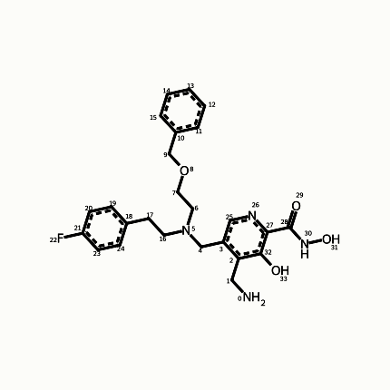 NCc1c(CN(CCOCc2ccccc2)CCc2ccc(F)cc2)cnc(C(=O)NO)c1O